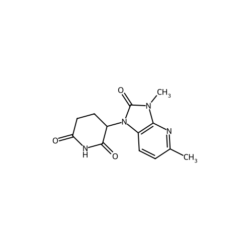 Cc1ccc2c(n1)n(C)c(=O)n2C1CCC(=O)NC1=O